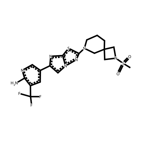 CS(=O)(=O)N1CC2(CCCN(c3nn4cc(-c5cnc(N)c(C(F)(F)F)c5)nc4s3)C2)C1